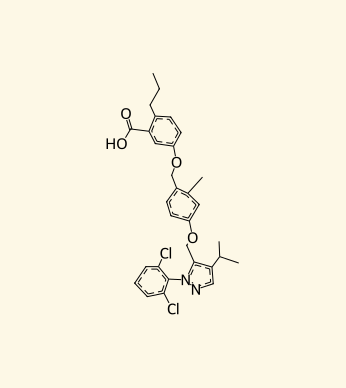 CCCc1ccc(OCc2ccc(OCc3c(C(C)C)cnn3-c3c(Cl)cccc3Cl)cc2C)cc1C(=O)O